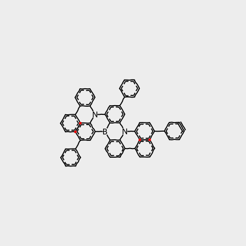 c1ccc(-c2ccc(N3c4cc(-c5ccccc5)cc5c4B(c4cc(-c6ccccc6)ccc4N5c4ccccc4-c4ccccc4)c4cccc(-c5ccccc5)c43)cc2)cc#1